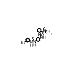 CCc1cccc(NC(=S)N[C@H]2CC[C@@H](Nc3nc4c(c(N(C)C)n3)CCCC4)CC2)c1